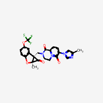 Cc1cn(-c2ccc3n(c2=O)CCN(C[C@]24C(=O)[C@@]2(C)Oc2ccc(OC(F)(F)F)cc24)C3=O)cn1